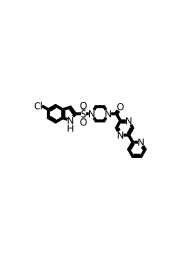 O=C(c1cnc(-c2ccccn2)cn1)N1CCN(S(=O)(=O)c2cc3cc(Cl)ccc3[nH]2)CC1